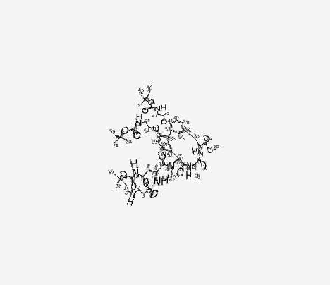 CNCCS(=O)(=O)N[C@@H](CCNC(=O)OC(C)(C)C)C(=O)N(C)[C@@H]1C(=O)N[C@@H](C)C(=O)N[C@H](C(=O)OC)Cc2ccc(OCCNC(=O)OC(C)(C)C)c(c2)-c2cc1ccc2OCCNC(=O)OC(C)(C)C